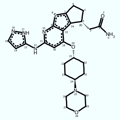 NC(=O)C[C@H]1CCc2sc3nc(Nc4ccn[nH]4)cc(O[C@H]4CC[C@H](N5CCOCC5)CC4)c3c21